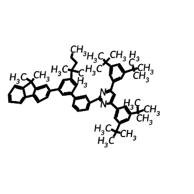 CCCC(C)(C)c1cc(-c2cccc(-c3nc(-c4cc(C(C)(C)C)cc(C(C)(C)C)c4)cc(-c4cc(C(C)(C)C)cc(C(C)(C)C)c4)n3)c2)cc(-c2ccc3c(c2)C(C)(C)c2ccccc2-3)c1